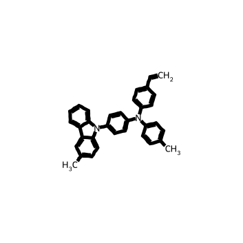 C=Cc1ccc(N(c2ccc(C)cc2)c2ccc(-n3c4ccccc4c4cc(C)ccc43)cc2)cc1